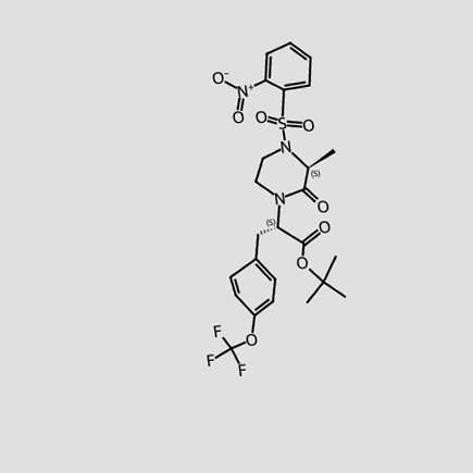 C[C@H]1C(=O)N([C@@H](Cc2ccc(OC(F)(F)F)cc2)C(=O)OC(C)(C)C)CCN1S(=O)(=O)c1ccccc1[N+](=O)[O-]